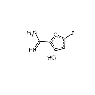 Cl.N=C(N)c1ccc(F)o1